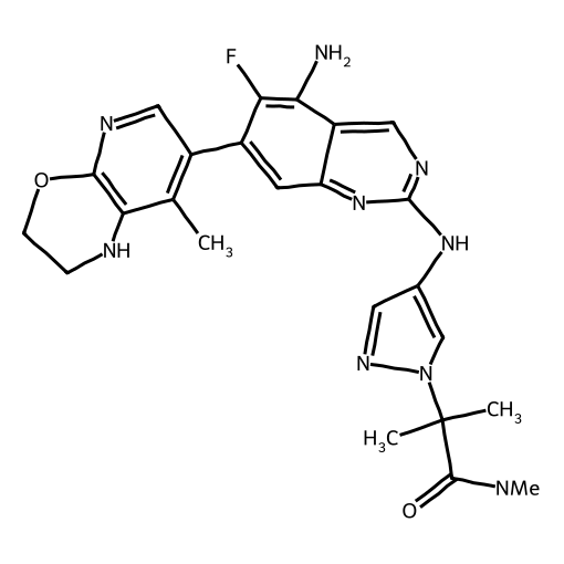 CNC(=O)C(C)(C)n1cc(Nc2ncc3c(N)c(F)c(-c4cnc5c(c4C)NCCO5)cc3n2)cn1